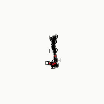 Cc1sc2c(c1C)C(c1ccc(Cl)cc1)=N[C@@H](CC(=O)NCCCCCCCCNC(=O)c1ccc3nc(N4CC5(CC(=O)N(C6CCC(=O)NC6=O)C5=O)C4)sc3c1)c1nnc(C)n1-2